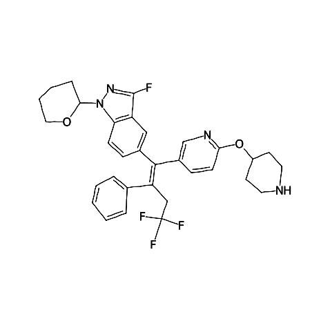 Fc1nn(C2CCCCO2)c2ccc(C(=C(CC(F)(F)F)c3ccccc3)c3ccc(OC4CCNCC4)nc3)cc12